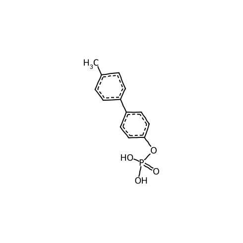 Cc1ccc(-c2ccc(OP(=O)(O)O)cc2)cc1